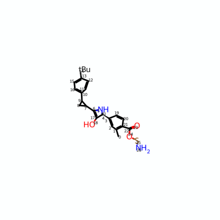 Cc1cc([C@@H]2NC(C3CC3c3ccc(C(C)(C)C)cc3)=C2O)ccc1C(=O)OSN